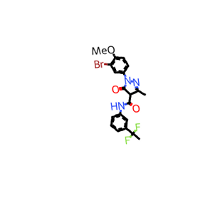 COc1ccc(N2N=C(C)C(C(=O)Nc3cccc(C(C)(F)F)c3)C2=O)cc1Br